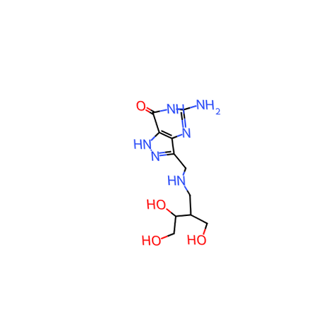 Nc1nc2c(CNCC(CO)C(O)CO)n[nH]c2c(=O)[nH]1